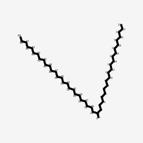 [CH2]C(CCCCCCCCCCCCCCCCCCCCCC)CCCCCCCCCCCCCCCCCCCCCCCCCC